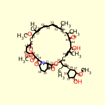 CO[C@H]1C[C@@H]2CC[C@@H](C)[C@@](O)(O2)C(=O)C(=O)N2CCCC[C@H]2C(=O)OC([C@H](C)C[C@@H]2CC[C@@H](O)[C@H](OC)C2)C/C=C(\C)[C@@H](O)CC(=O)[C@H](C)C[C@H](C)/C=C/C=C/C=C/1C